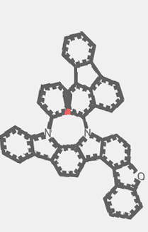 c1ccc(-n2c3ccccc3c3ccc4c5c6c(ccc5n(-c5ccc7c8c(cccc58)-c5ccccc5-7)c4c32)oc2ccccc26)cc1